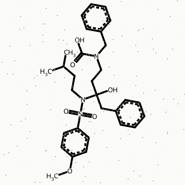 COc1ccc(S(=O)(=O)N(CCC(C)C)C(O)(CCN(Cc2ccccc2)C(=O)O)Cc2ccccc2)cc1